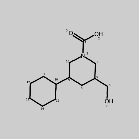 O=C(O)N1CC(CO)CC(C2CCCCC2)C1